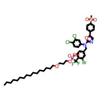 CCCCCCCCCCCCCCCCOCCCOP(=O)(O)C(F)(F)c1ccc(CN(c2ccc(Cl)c(Cl)c2)c2ncc(-c3ccc(S(C)(=O)=O)cc3)o2)cc1Br